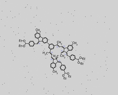 C=C1/C(=C/c2ccc(C(OCC)OCC)cc2)c2cc(C)ccc2/C1=C/C=C(\C)c1cc(/C(C)=C/C=C2C(=C\C)\C(=C\c3ccc(C(OCC)OCC)cc3)c3ccc(C)cc3\2)cc(-c2ccc3c(c2)/C(=C/c2ccc(C(OCC)OCC)cc2)c2ccc(C)cc2-3)c1